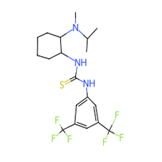 CC(C)N(C)C1CCCCC1NC(=S)Nc1cc(C(F)(F)F)cc(C(F)(F)F)c1